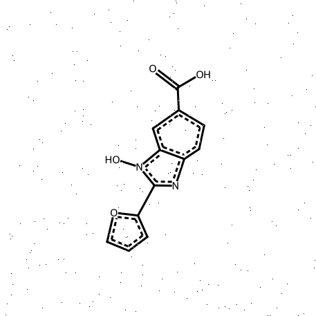 O=C(O)c1ccc2nc(-c3ccco3)n(O)c2c1